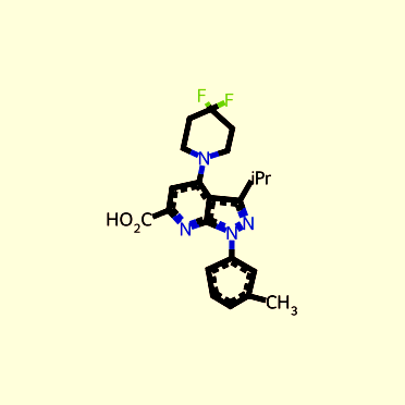 Cc1cccc(-n2nc(C(C)C)c3c(N4CCC(F)(F)CC4)cc(C(=O)O)nc32)c1